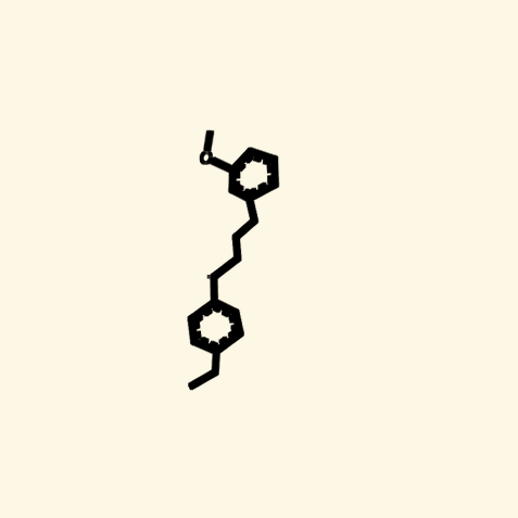 CCc1ccc([CH]CCCc2cccc(OC)c2)cc1